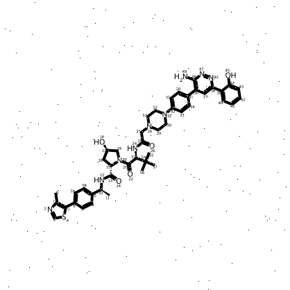 Cc1ncsc1-c1ccc([C@H](C)NC(=O)[C@@H]2C[C@@H](O)CN2C(=O)[C@@H](NC(=O)CN2CCN(c3ccc(-c4cc(-c5ccccc5O)nnc4N)cc3)CC2)C(C)(C)C)cc1